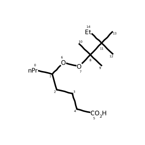 CCCC(CCCC(=O)O)OOC(C)(C)C(C)(C)CC